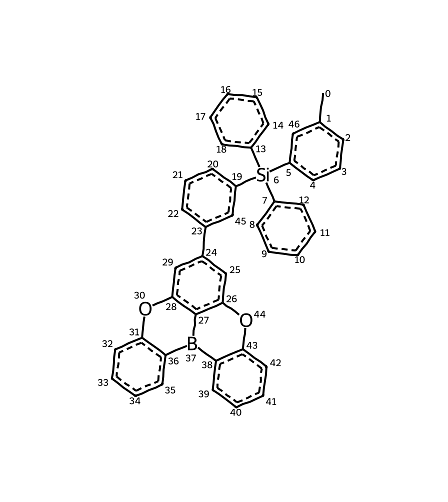 Cc1cccc([Si](c2ccccc2)(c2ccccc2)c2cccc(-c3cc4c5c(c3)Oc3ccccc3B5c3ccccc3O4)c2)c1